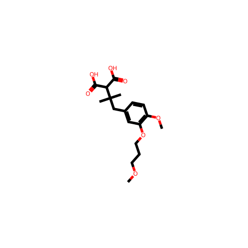 COCCCOc1cc(CC(C)(C)C(C(=O)O)C(=O)O)ccc1OC